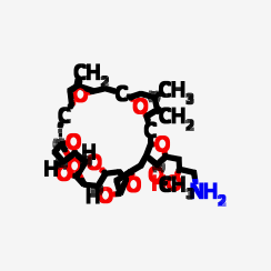 C=C1CC2CC[C@@]34C[C@H]5OC6C(O3)[C@H]3OC(CCC3O[C@H]6C5O4)CC(=O)CC3C(CC4OC(CCC1O2)C[C@@H](C)C4=C)OC(CC(O)CN)[C@@H]3OC